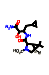 CC1(C)C2C(C(=O)NC(CC3CC3)C(O)C(N)=O)N(C(=O)O)C[C@@H]21